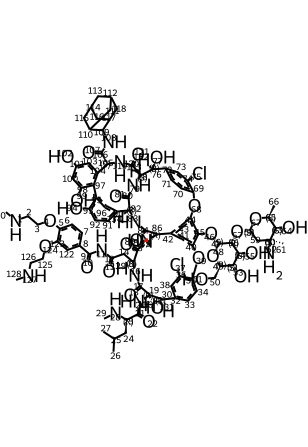 CNCCOc1ccc(C(=O)NC(=O)C[C@@H]2NC(=O)[C@H](NC(=O)[C@@H](CC(C)C)NC)[C@H](O)c3ccc(c(Cl)c3)Oc3cc4cc(c3O[C@@H]3O[C@H](CO)[C@@H](O)[C@H](O)[C@H]3O[C@H]3C[C@](C)(N)[C@H](O)[C@H](C)O3)Oc3ccc(cc3Cl)[C@@H](O)[C@@H]3NC(=O)[C@H](NC(=O)[C@@H]4NC2=O)c2ccc(O)c(c2)-c2c(O)cc(O)cc2[C@@H](C(=O)NC2C4CC5CC(C4)CC2C5)NC3=O)cc1OCCNC